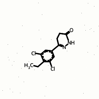 CCc1c(Cl)cc(C2=NNC(=O)CC2)cc1Cl